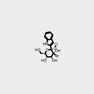 OC[C@H]1O[C@@](OCl)(c2cc3ccccc3[nH]2)[C@@](O)(Br)[C@@H](O)[C@@H]1O